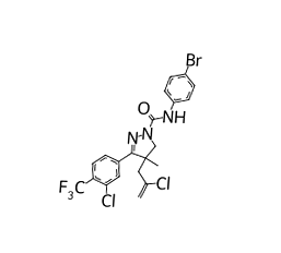 C=C(Cl)CC1(C)CN(C(=O)Nc2ccc(Br)cc2)N=C1c1ccc(C(F)(F)F)c(Cl)c1